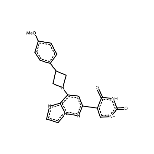 COc1ccc(C2CN(c3cc(-c4c[nH]c(=O)[nH]c4=O)nn4ccnc34)C2)cc1